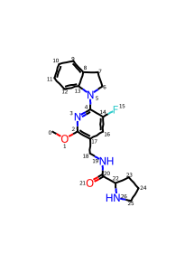 COc1nc(N2CCc3ccccc32)c(F)cc1CNC(=O)C1CCCN1